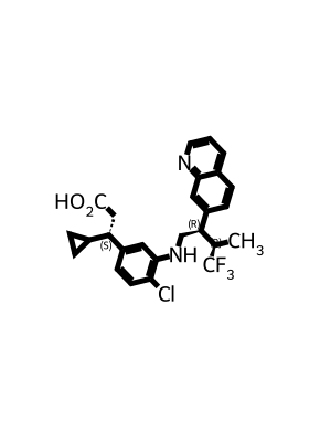 C[C@H]([C@@H](CNc1cc([C@@H](CC(=O)O)C2CC2)ccc1Cl)c1ccc2cccnc2c1)C(F)(F)F